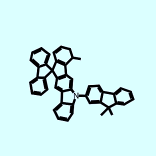 CC1CC=CC2=C1c1cc3c(cc1C21c2ccccc2-c2ccccc21)c1ccccc1n3-c1ccc2c(c1)C(C)(C)c1ccccc1-2